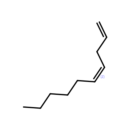 C=CC/C=C\CCCCC